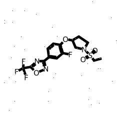 CCS(=O)(=O)N1CCC(Oc2ccc(-c3noc(C(F)(F)F)n3)cc2F)C1